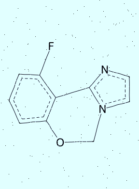 Fc1cccc2c1-c1nccn1CO2